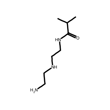 CC(C)C(=O)NCCNCCN